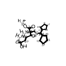 COC(=O)[C@@](N)(CSC(C1CCCC1)C1CCCC1)C(=O)[C@@H](N)CC(=O)O